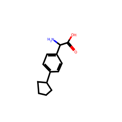 NC(C(=O)O)c1ccc(C2CCCC2)cc1